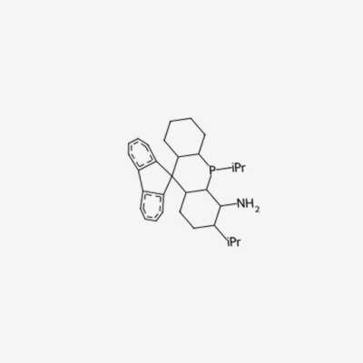 CC(C)C1CCC2C(C1N)P(C(C)C)C1CCCCC1C21c2ccccc2-c2ccccc21